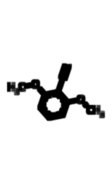 [C]#Cc1c(OC)cccc1OC